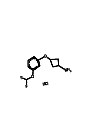 Cl.NC1CC(Oc2cccc(OC(F)F)c2)C1